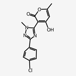 Cc1cc(O)c(-c2nc(-c3ccc(Cl)cc3)nn2C)c(=O)o1